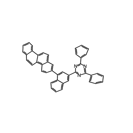 c1ccc(-c2nc(-c3ccccc3)nc(-c3cc(-c4ccc5c(ccc6c7ccccc7ccc56)c4)c4ccccc4c3)n2)cc1